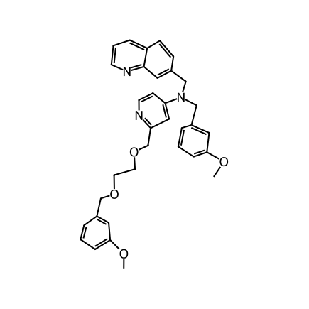 COc1cccc(COCCOCc2cc(N(Cc3cccc(OC)c3)Cc3ccc4cccnc4c3)ccn2)c1